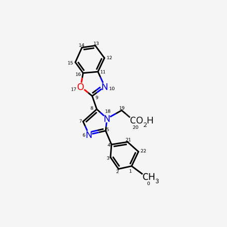 Cc1ccc(-c2ncc(-c3nc4ccccc4o3)n2CC(=O)O)cc1